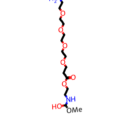 COC(O)NCCOC(=O)CCOCCOCCOCCOCCN